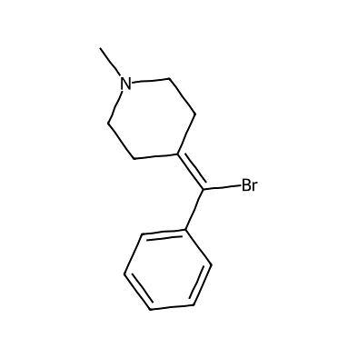 CN1CCC(=C(Br)c2ccccc2)CC1